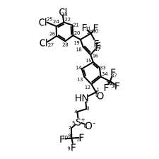 O=C(NCC[S+]([O-])CC(F)(F)F)c1ccc(/C(F)=C/C(c2cc(Cl)c(Cl)c(Cl)c2)C(F)(F)F)cc1C(F)(F)F